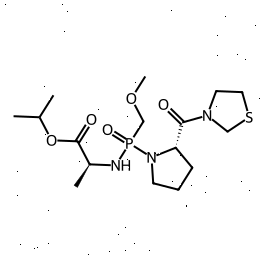 COCP(=O)(N[C@@H](C)C(=O)OC(C)C)N1CCC[C@H]1C(=O)N1CCSC1